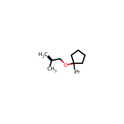 C=C(C)COC1(C(C)C)CCCC1